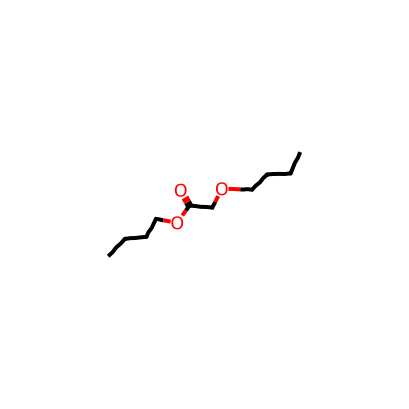 CCCCOCC(=O)OCCCC